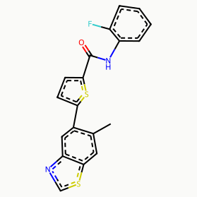 Cc1cc2scnc2cc1-c1ccc(C(=O)Nc2ccccc2F)s1